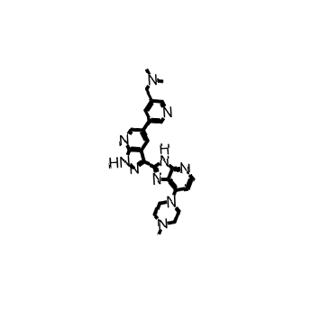 CN(C)Cc1cncc(-c2cnc3[nH]nc(-c4nc5c(N6CCN(C)CC6)ccnc5[nH]4)c3c2)c1